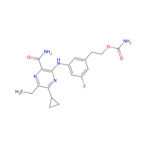 CCc1nc(C(N)=O)c(Nc2cc(F)cc(CCOC(N)=O)c2)nc1C1CC1